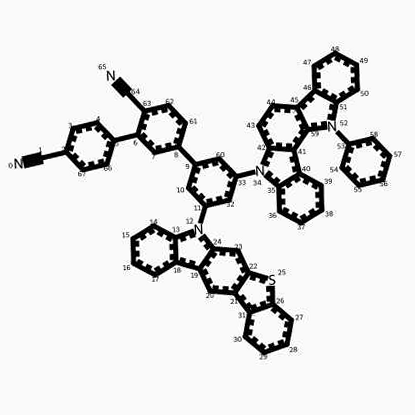 N#Cc1ccc(-c2cc(-c3cc(-n4c5ccccc5c5cc6c(cc54)sc4ccccc46)cc(-n4c5ccccc5c5c4ccc4c6ccccc6n(-c6ccccc6)c45)c3)ccc2C#N)cc1